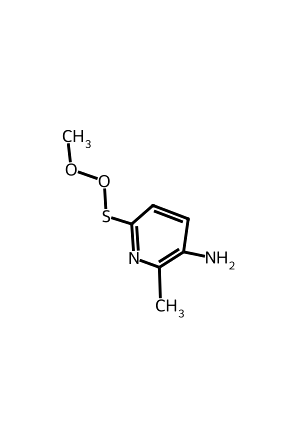 COOSc1ccc(N)c(C)n1